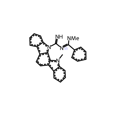 CN/C(=N\C(=N)n1c2ccccc2c2ccc3c4ccccc4n(C)c3c21)c1ccccc1